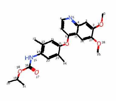 COc1cc2nccc(Oc3cc(C)c(NC(=O)OC(C)C)cc3C)c2cc1OC